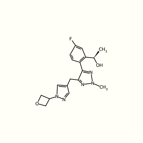 C[C@@H](O)c1cc(F)ccc1-c1nn(C)nc1Cc1cnn(C2COC2)c1